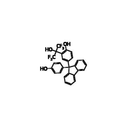 Oc1ccc(C2(c3ccc(O)c(C(O)(C(F)(F)F)C(F)(F)F)c3)c3ccccc3-c3ccccc32)cc1